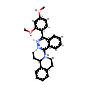 CCC1c2ccccc2CCN1c1nnc(-c2ccc(OC)cc2OC)c2ccccc12